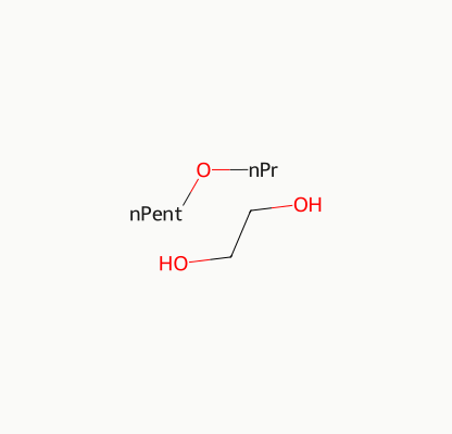 CCCCCOCCC.OCCO